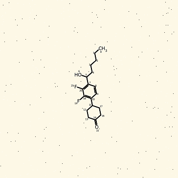 CCCCCC(O)c1ccc(C2CCC(=O)CC2)c(F)c1F